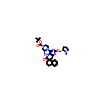 C[C@H]1CN(C(=O)OC(C)(C)C)CCN1c1nc(OC[C@@H]2CCCN2C)nc2c1NC(=O)C1(CCCc3ccccc31)C2